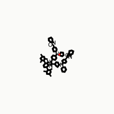 Cc1cc(C)c(-c2ccc(-c3c(C)cc(C)cc3C)c3nc(-c4ccc(N(c5ccccc5)c5ccc(-c6nc7ccccc7o6)cc5)cc4)c(-c4ccc(N(c5ccccc5)c5ccc(-c6nc7ccccc7o6)cc5)cc4)nc23)c(C)c1